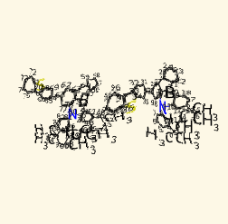 CC(C)(C)c1cccc(N2c3cc(C(C)(C)C)ccc3B3c4ccccc4-c4cc(-c5ccc6c(c5)sc5cc(CC7(C)CCC(C)(C)c8cc9c(cc87)B7c8ccccc8-c8cc(-c%10ccc%11c(c%10)sc%10ccccc%10%11)cc(c87)N9c7ccc8c(c7)C(C)(C)CCC8(C)C)ccc56)cc2c43)c1